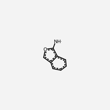 [NH]c1occ2ccccc12